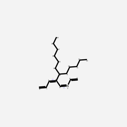 C=C/C=C(\C=N/C=C)C(CCCCC)CCCCCC